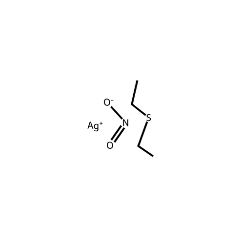 CCSCC.O=N[O-].[Ag+]